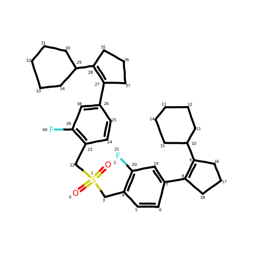 O=S(=O)(Cc1ccc(C2=C(C3CCCCC3)CCC2)cc1F)Cc1ccc(C2=C(C3CCCCC3)CCC2)cc1F